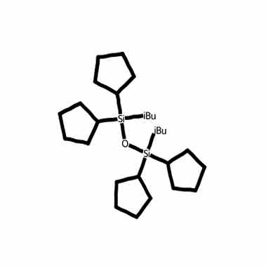 CCC(C)[Si](O[Si](C(C)CC)(C1CCCC1)C1CCCC1)(C1CCCC1)C1CCCC1